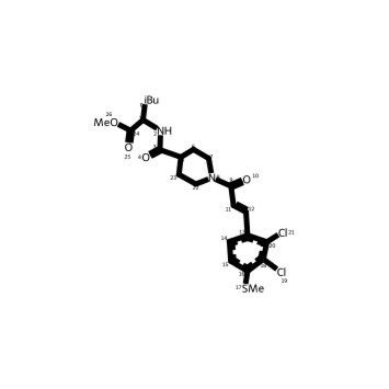 CCC(C)C(NC(=O)C1CCN(C(=O)C=Cc2ccc(SC)c(Cl)c2Cl)CC1)C(=O)OC